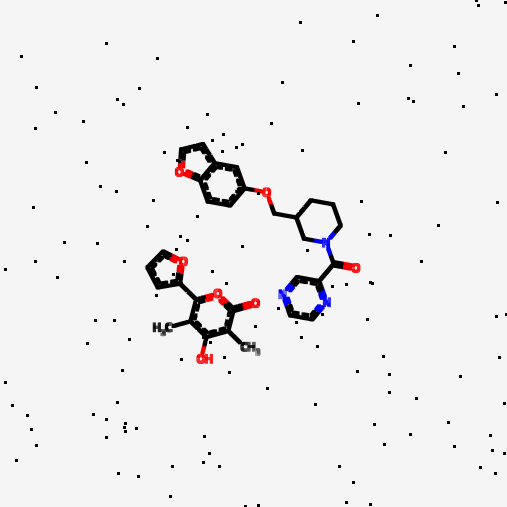 Cc1c(-c2ccco2)oc(=O)c(C)c1O.O=C(c1cnccn1)N1CCCC(COc2ccc3occc3c2)C1